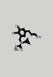 CC(C)(C)OC(=O)N(Cc1cc(CC=CC#N)cc(Cl)c1Cl)C1CC1